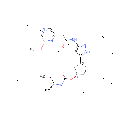 CC[C@H](C)NC(=O)O[C@@H]1CC[C@H](c2cc(NC(=O)Cc3cncc(OC)n3)n[nH]2)C1